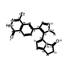 CCc1n[nH]c(=O)c2ccc(-c3cnn(C)c3-c3ccc4n3C(=O)CC4)cc12